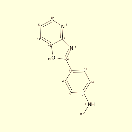 CNc1ccc(-c2nc3ncccc3o2)cc1